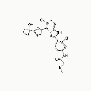 CN(C)CC(=O)Nc1ccc(-c2cc3c(-c4cnc(C5(O)CCC5)s4)c(Cl)cnc3[nH]2)c(Cl)c1